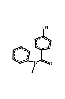 CN(C(=O)c1ccc(C#N)cc1)c1ccccc1